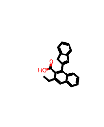 CCc1cc2ccccc2c(C2=Cc3ccccc3C2)c1C(=O)O